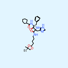 CCC1(C)COC(CCCCNC(=O)[C@@](N)(Cc2c[nH]cn2)C(=O)[C@H](Cc2ccccc2)NC(=O)C2CCCCC2)O1